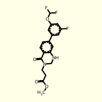 COC(=O)CCN1CNc2cc(-c3cc(F)cc(OC(F)F)c3)ccc2C1=O